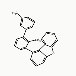 Cc1cccc(-c2cccc(-c3cccc4sc5ccccc5c34)c2C)c1